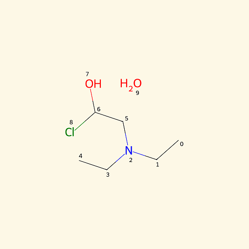 CCN(CC)CC(O)Cl.O